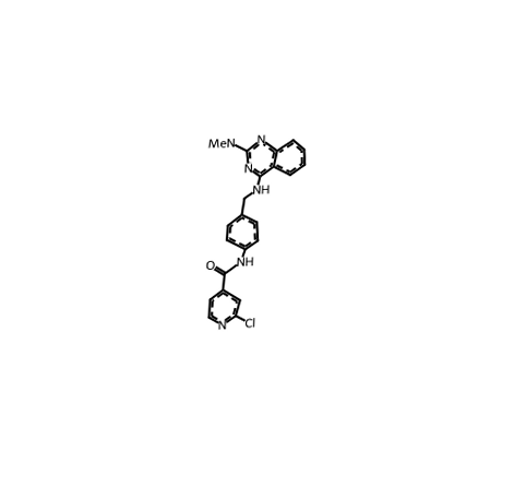 CNc1nc(NCc2ccc(NC(=O)c3ccnc(Cl)c3)cc2)c2ccccc2n1